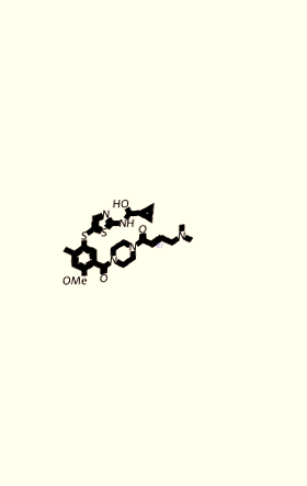 COc1cc(C)c(Sc2cnc(NC(O)C3CC3)s2)cc1C(=O)N1CCN(C(=O)/C=C/CN(C)C)CC1